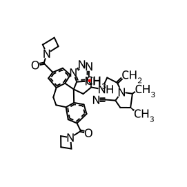 C=C(CN[C@H](C)CC1(c2nnn[nH]2)c2ccc(C(=O)N3CCC3)cc2CCc2cc(C(=O)N3CCC3)ccc21)N1C(C#N)C[C@H](C)C1C